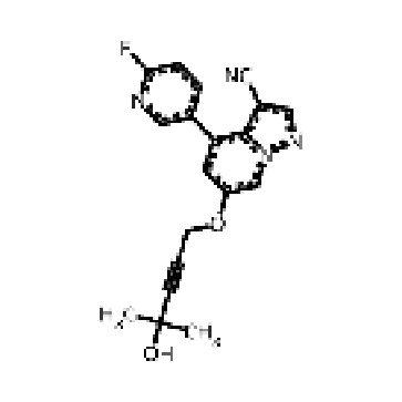 CC(C)(O)C#CCOc1cc(-c2ccc(F)nc2)c2c(C#N)cnn2c1